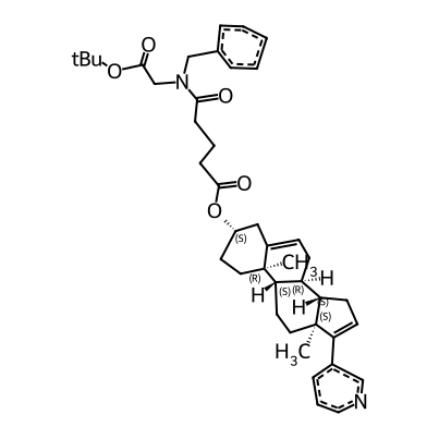 CC(C)(C)OC(=O)CN(Cc1ccccc1)C(=O)CCCC(=O)O[C@H]1CC[C@@]2(C)C(=CC[C@@H]3[C@@H]2CC[C@]2(C)C(c4cccnc4)=CC[C@@H]32)C1